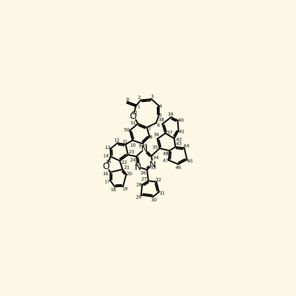 C=C1/C=C\C=C/Cc2ccc(-c3ccc4oc5ccccc5c4c3-c3nc(-c4ccccc4)nc(-c4cc5ccccc5c5ccccc45)n3)cc2O1